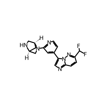 FC(F)c1ccc2ncc(-c3ccnc(N4C[C@@H]5C[C@H]4CN5)c3)n2n1